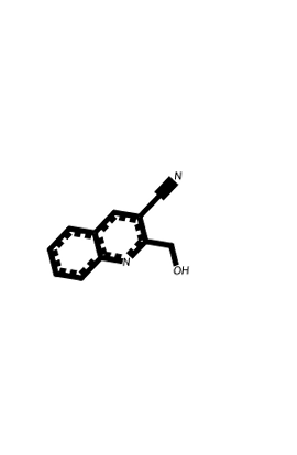 N#Cc1cc2ccccc2nc1CO